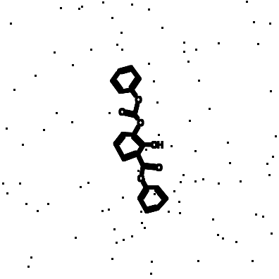 O=C(Oc1ccccc1)Oc1cccc(C(=O)Oc2ccccc2)c1O